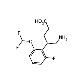 NCC(CCC(=O)O)c1c(F)cccc1OC(F)F